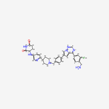 NCc1ccc(-c2ncnn3cc(-c4ccc(CN5CCC(c6ccc(NC7CCC(=O)NC7=O)cn6)CC5)cc4)cc23)cc1F